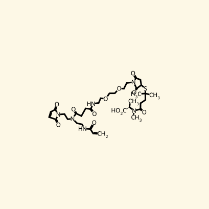 C=CC(=O)NCCN(CCN1C(=O)C=CC1=O)C(=O)CCC(=O)NCCOCCOCCN1C(=O)CC(SC(C)(C)CCC(=O)N(C)[C@@H](C)C(=O)O)C1=O